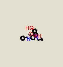 CN(Cc1ccccc1)C1=CC[C@]2(O)C3Cc4ccc(O)c5c4[C@]2(CCN3CC2CC2)[C@@H]1O5